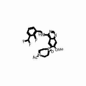 COc1cc2ncnc(NCc3cccc(C(F)F)c3F)c2cc1P1(=O)CCN(C(C)=O)CC1